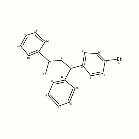 CCc1ccc(C(CC(C)c2ccccc2)c2ccccc2)cc1